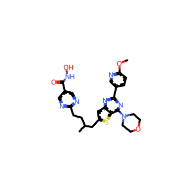 COc1ccc(-c2nc(N3CCOCC3)c3sc(CC(C)CCc4ncc(C(=O)NO)cn4)cc3n2)cn1